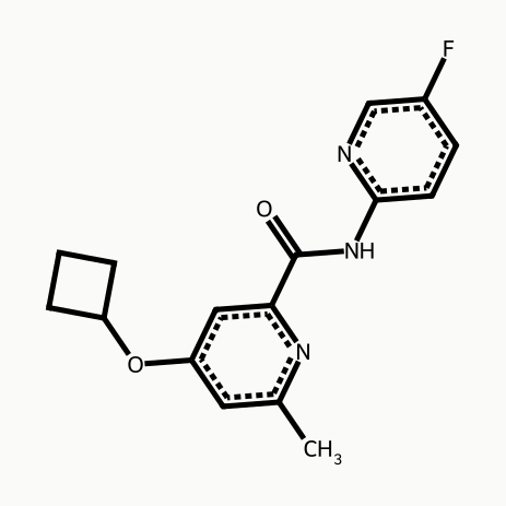 Cc1cc(OC2CCC2)cc(C(=O)Nc2ccc(F)cn2)n1